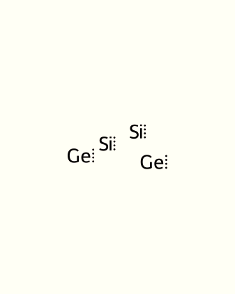 [Ge].[Ge].[Si].[Si]